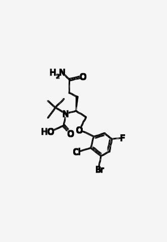 CC(C)(C)N(C(=O)O)[C@@H](CCC(N)=O)COc1cc(F)cc(Br)c1Cl